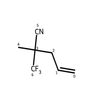 C=CCC(C)(C#N)C(F)(F)F